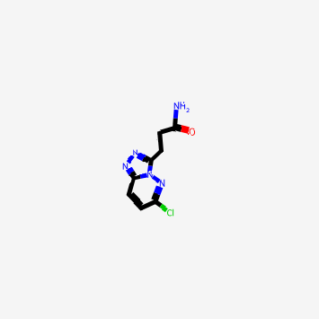 NC(=O)CCc1nnc2ccc(Cl)nn12